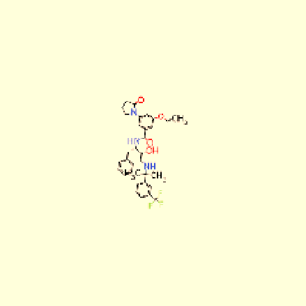 CCOc1cc(C(=O)N[C@@H](Cc2ccccc2)[C@H](O)CNC(C)(C)c2cccc(C(F)(F)F)c2)cc(N2CCCC2=O)c1